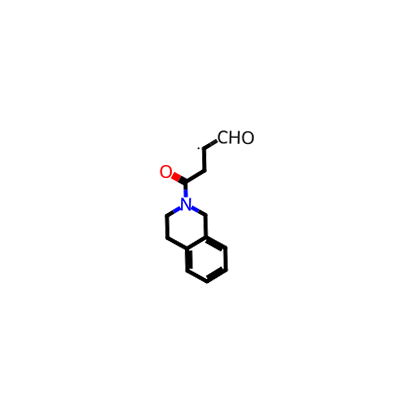 O=C[CH]CC(=O)N1CCc2ccccc2C1